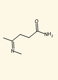 C/N=C(/C)CCC(N)=O